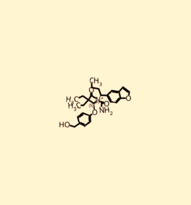 CCCC(c1ccc2occc2c1)[N@+]1(C(N)=O)C(=O)C(CC)(CC)[C@@H]1Oc1ccc(CO)cc1